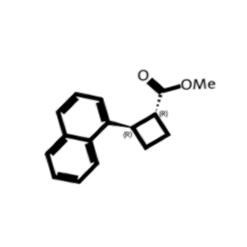 COC(=O)[C@@H]1CC[C@H]1c1cccc2ccccc12